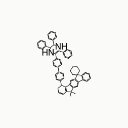 CC1(C)C2=C(c3cc4c(cc31)-c1ccccc1C41CCCCC1)C(c1ccc(-c3ccc(C4=C(c5ccccc5)NC(c5ccccc5)C(c5ccccc5)N4)cc3)cc1)CC=C2